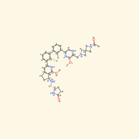 COc1nc(-c2cccc(-c3cccc(-c4cc5c(c(OC)n4)[C@@H](NC[C@@H]4CCC(=O)N4)CC5)c3F)c2C)cnc1CN1CC2(C1)CN(C(C)=O)C2